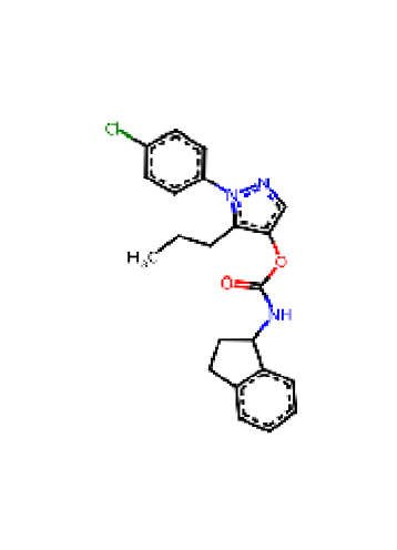 CCCc1c(OC(=O)NC2CCc3ccccc32)cnn1-c1ccc(Cl)cc1